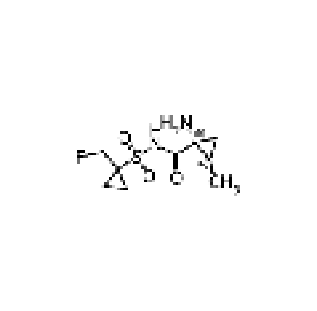 C[C@@H]1C[C@]1(N)C(=O)NS(=O)(=O)C1(CF)CC1